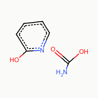 NC(=O)O.Oc1ccccn1